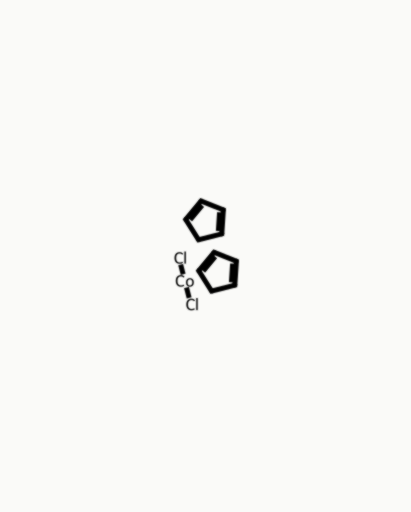 C1=CCC=C1.C1=CCC=C1.[Cl][Co][Cl]